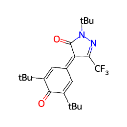 CC(C)(C)C1=CC(=C2C(=O)N(C(C)(C)C)N=C2C(F)(F)F)C=C(C(C)(C)C)C1=O